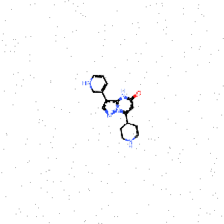 O=c1cc(C2CCNCC2)n2ncc(C3=CC=CNC3)c2[nH]1